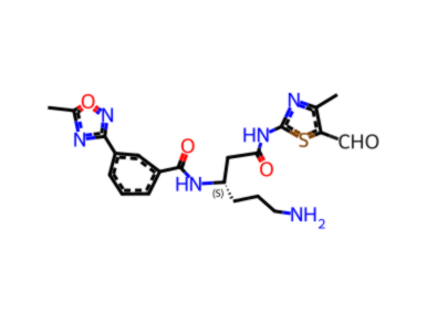 Cc1nc(-c2cccc(C(=O)N[C@@H](CCCN)CC(=O)Nc3nc(C)c(C=O)s3)c2)no1